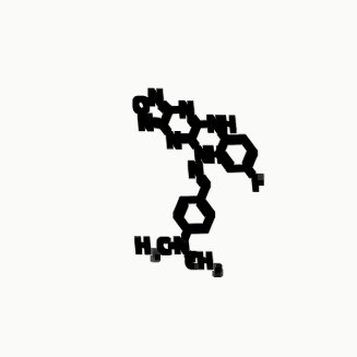 CN(C)c1ccc(/C=N/Nc2nc3nonc3nc2Nc2ccc(F)cc2)cc1